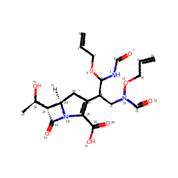 C=CCOC(NC=O)C(CN(C=O)OCC=C)C1=C(C(=O)O)N2C(=O)[C@H]([C@@H](C)O)[C@H]2C1